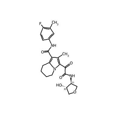 Cc1cc(NC(=O)c2c(C)c(C(=O)C(=O)N[C@H]3COC[C@@H]3O)n3c2CCCC3)ccc1F